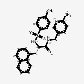 Cc1ccc(S(=O)(=O)N[C@@H](Cc2cccc3ccccc23)C(=O)NCc2ccc(N)nc2)cc1